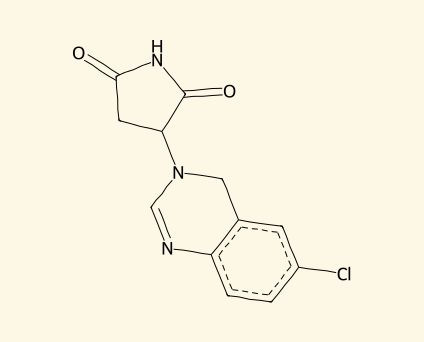 O=C1CC(N2C=Nc3ccc(Cl)cc3C2)C(=O)N1